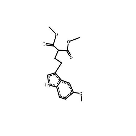 COC(=O)C(CCc1c[nH]c2ccc(OC)cc12)C(=O)OC